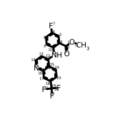 COC(=O)c1cc(F)ccc1Nc1ccnc2cc(C(F)(F)F)ccc12